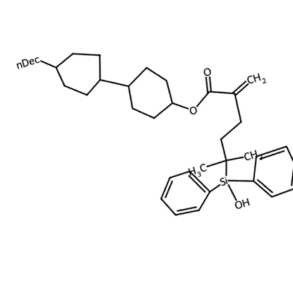 C=C(CCC(C)(C)[Si](O)(c1ccccc1)c1ccccc1)C(=O)OC1CCC(C2CCC(CCCCCCCCCC)CC2)CC1